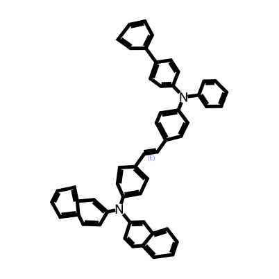 C(=C\c1ccc(N(c2ccc3ccccc3c2)c2ccc3ccccc3c2)cc1)/c1ccc(N(c2ccccc2)c2ccc(-c3ccccc3)cc2)cc1